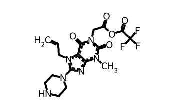 C=CCn1c(N2CCNCC2)nc2c1c(=O)n(CC(=O)OC(=O)C(F)(F)F)c(=O)n2C